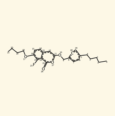 CCCCCc1ccc(COc2cc3ccc(OCCCC)c(F)c3c(=O)o2)cc1